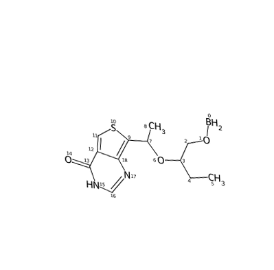 BOCC(CC)OC(C)c1scc2c(=O)[nH]cnc12